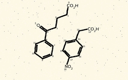 O=C(O)CCCC(=O)c1ccccc1.O=C(O)Cc1ccc([N+](=O)[O-])cc1